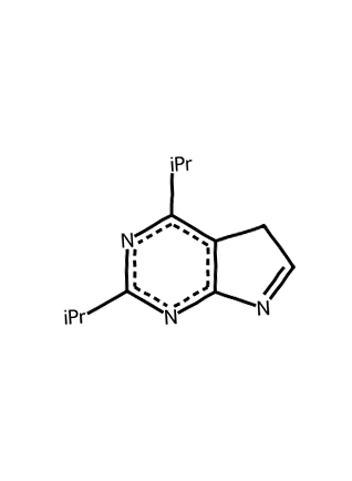 CC(C)c1nc2c(c(C(C)C)n1)CC=N2